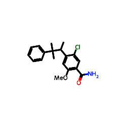 COc1cc(C(C)C(C)(C)c2ccccc2)c(Cl)cc1C(N)=O